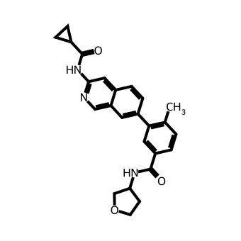 Cc1ccc(C(=O)NC2CCOC2)cc1-c1ccc2cc(NC(=O)C3CC3)ncc2c1